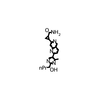 CCCC(O)c1ncc(-c2ccc3cnc(C4CC4C(N)=O)cc3n2)c(C)n1